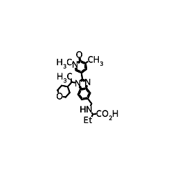 CCC(NCc1ccc2c(c1)nc(-c1cc(C)c(=O)n(C)c1)n2C(C)C1CCOCC1)C(=O)O